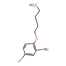 CC(C)(C)c1cc(Cl)ccc1OCCCCC(=O)O